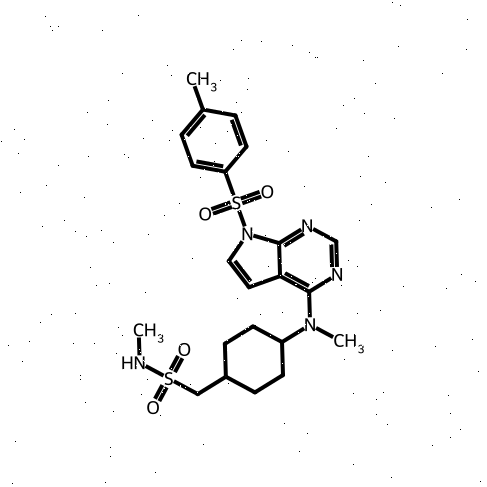 CNS(=O)(=O)CC1CCC(N(C)c2ncnc3c2ccn3S(=O)(=O)c2ccc(C)cc2)CC1